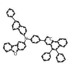 c1ccc(-c2ccc3cc(N(c4ccc(-c5ccc6c(c5)c(-c5ccccc5)c(-c5ccccc5)c5ccccc56)cc4)c4ccc5oc6ccccc6c5c4)ccc3c2)cc1